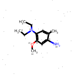 CCN(CC)c1cc(C)c(N)cc1OC